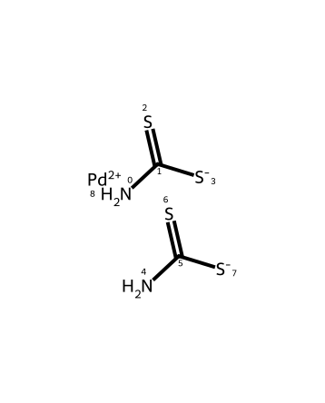 NC(=S)[S-].NC(=S)[S-].[Pd+2]